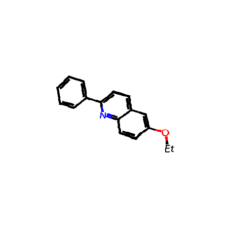 CCOc1ccc2nc(-c3ccccc3)ccc2c1